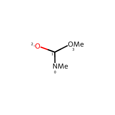 CNC([O])OC